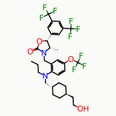 CCCN(C[C@H]1CC[C@H](CCO)CC1)c1ccc(OC(F)(F)F)cc1CN1C(=O)O[C@H](c2cc(C(F)(F)F)cc(C(F)(F)F)c2)[C@@H]1C